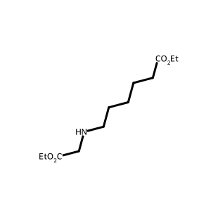 CCOC(=O)CCCCCNCC(=O)OCC